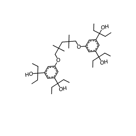 CCC(O)(CC)c1cc(OCC(C)(C)CC(C)(C)COc2cc(C(O)(CC)CC)cc(C(O)(CC)CC)c2)cc(C(O)(CC)CC)c1